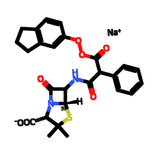 CC1(C)S[C@H]2C(NC(=O)C(C(=O)OOc3ccc4c(c3)CCC4)c3ccccc3)C(=O)N2C1C(=O)[O-].[Na+]